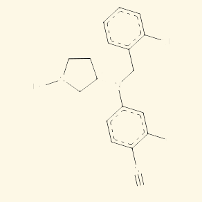 [C-]#[N+]c1ccc(N(Cc2ccccc2Cl)[C@H]2CCN(C)C2)cc1Cl